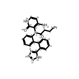 CC(C)CCC(=O)N(c1ccccc1-c1ccccc1-c1nnn[nH]1)c1c(N)cc[nH]c1=O